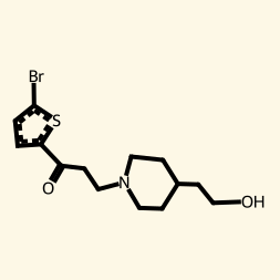 O=C(CCN1CCC(CCO)CC1)c1ccc(Br)s1